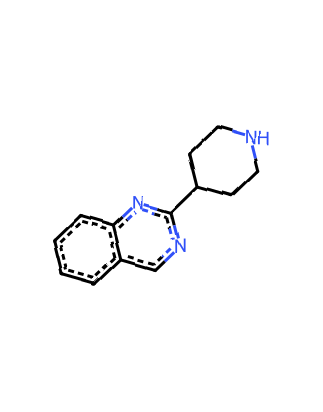 c1ccc2nc(C3CCNCC3)ncc2c1